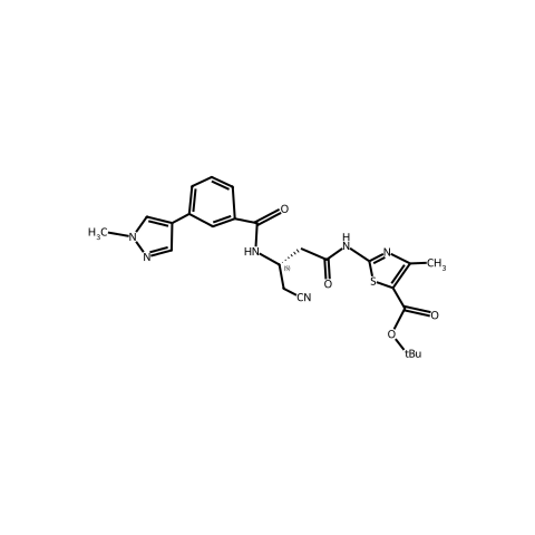 Cc1nc(NC(=O)C[C@H](CC#N)NC(=O)c2cccc(-c3cnn(C)c3)c2)sc1C(=O)OC(C)(C)C